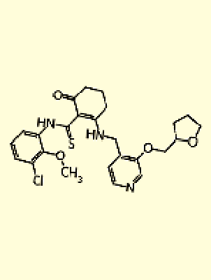 COc1c(Cl)cccc1NC(=S)C1=C(NCc2ccncc2OCC2CCCO2)CCCC1=O